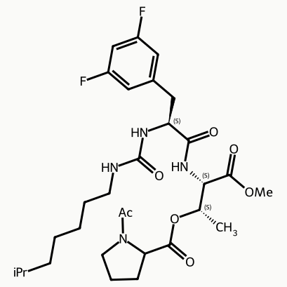 COC(=O)[C@@H](NC(=O)[C@H](Cc1cc(F)cc(F)c1)NC(=O)NCCCCCC(C)C)[C@H](C)OC(=O)C1CCCN1C(C)=O